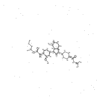 CCCC(C)OC(=O)Nc1ccc(-c2nc(C3CCN(C(=O)CN(C)C)CC3)n3ccnc(C)c23)cc1OC